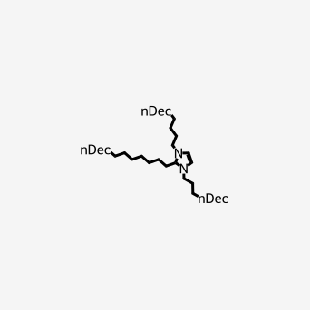 CCCCCCCCCCCCCCCCCC1N(CCCCCCCCCCCCC)C=CN1CCCCCCCCCCCCCC